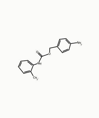 [CH2]c1ccccc1NC(=O)OCc1ccc(N)cc1